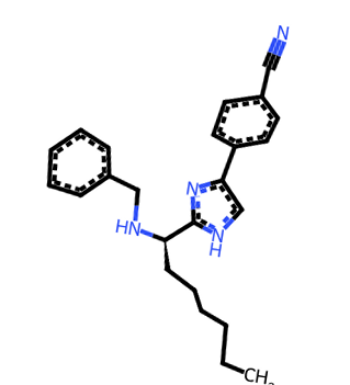 CCCCCC[C@@H](NCc1ccccc1)c1nc(-c2ccc(C#N)cc2)c[nH]1